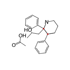 CC(=O)O.CC(O)CC1(c2ccccc2)C(c2ccccc2)C2CCN1CC2